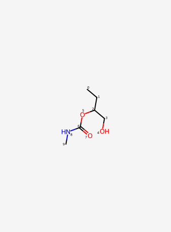 CCC(CO)OC(=O)NC